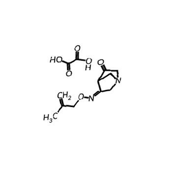 C=C(C)CON=C1CN2CC(=O)C1C2.O=C(O)C(=O)O